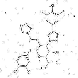 OCC1O[C@H](Sc2ccc(Cl)c(Cl)c2)C(OCc2cocn2)C(n2cc(-c3cc(F)c(Cl)c(F)c3)nn2)[C@H]1O